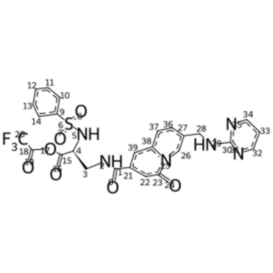 O=C(NC[C@H](NS(=O)(=O)c1ccccc1)C(=O)OC(=O)C(F)(F)F)c1cc(=O)n2cc(CNc3ncccn3)ccc2c1